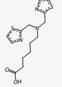 O=C(O)CCCCCN(Cc1nccs1)Cc1nccs1